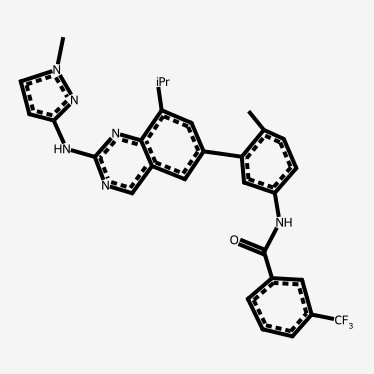 Cc1ccc(NC(=O)c2cccc(C(F)(F)F)c2)cc1-c1cc(C(C)C)c2nc(Nc3ccn(C)n3)ncc2c1